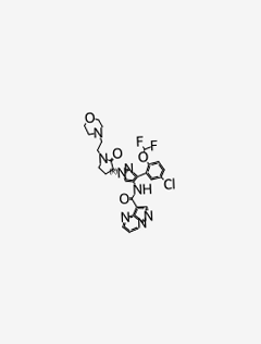 O=C(Nc1cn([C@@H]2CCN(CCN3CCOCC3)C2=O)nc1-c1cc(Cl)ccc1OC(F)F)c1cnn2cccnc12